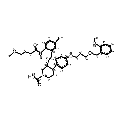 COCCCC(=O)N(C)c1ccc(F)cc1COC1CN(C(=O)O)CCC1c1ccc(OCCCOCc2ccccc2OC)cc1